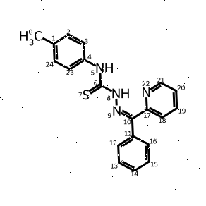 Cc1ccc(NC(=S)NN=C(c2ccccc2)c2ccccn2)cc1